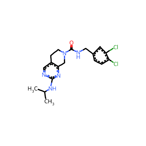 CC(C)Nc1ncc2c(n1)CN(C(=O)NCc1ccc(Cl)c(Cl)c1)CC2